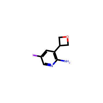 Nc1ncc(I)cc1C1COC1